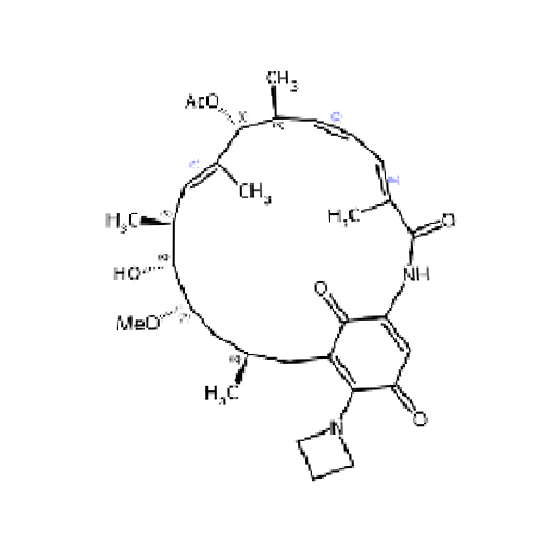 CO[C@H]1C[C@H](C)CC2=C(N3CCC3)C(=O)C=C(NC(=O)/C(C)=C/C=C\[C@H](C)[C@@H](OC(C)=O)/C(C)=C/[C@H](C)[C@H]1O)C2=O